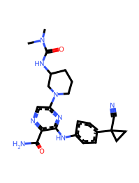 CN(C)C(=O)NC1CCCN(c2cnc(C(N)=O)c(Nc3ccc(C4(C#N)CC4)cc3)n2)C1